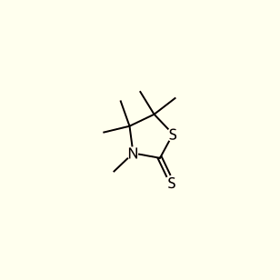 CN1C(=S)SC(C)(C)C1(C)C